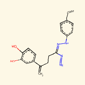 C=C(CC/C(N=N)=N/Nc1ccc(OC)cc1)c1ccc(O)c(O)c1